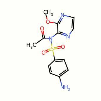 COc1nccnc1N(C(C)=O)S(=O)(=O)c1ccc(N)cc1